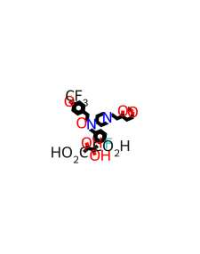 O=C(Cc1ccc(OC(F)(F)F)cc1)N(Cc1ccc(F)cc1)C1CCN(CCC2CCOCO2)CC1.O=C(O)C(O)C(O)C(=O)O